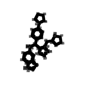 c1nc2cc(NC(c3ccc(N4CCCC4)cc3)c3nnnn3CC3CCCO3)ccc2[nH]1